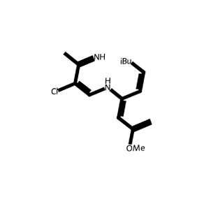 C=C(/C=C(\C=C/C(C)CC)N/C=C(/Cl)C(C)=N)OC